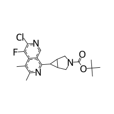 Cc1nc(C2C3CN(C(=O)OC(C)(C)C)CC32)c2cnc(Cl)c(F)c2c1C